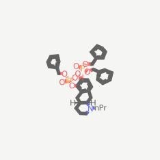 CCCN1CCC[C@@H]2Cc3c(ccc(OP(=O)(OCc4ccccc4)OCc4ccccc4)c3OP(=O)(O)OCc3ccccc3)C[C@H]21